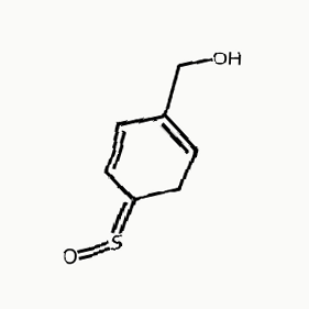 O=S=C1C=CC(CO)=CC1